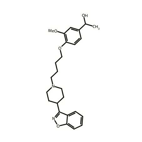 COc1cc(C(C)O)ccc1OCCCCN1CCC(c2noc3ccccc23)CC1